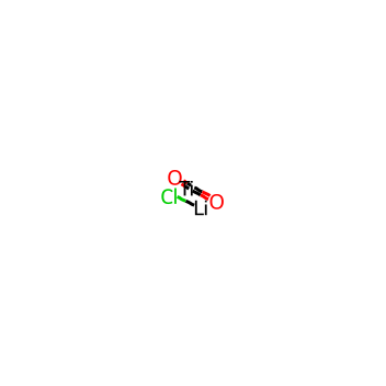 [Li][Cl].[O]=[Ti]=[O]